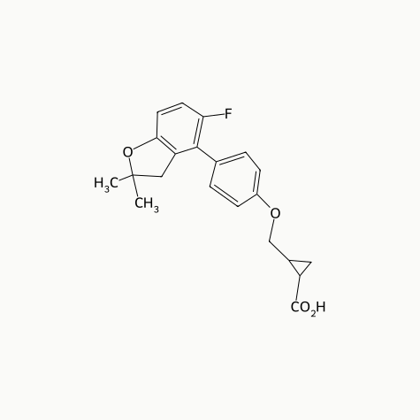 CC1(C)Cc2c(ccc(F)c2-c2ccc(OCC3CC3C(=O)O)cc2)O1